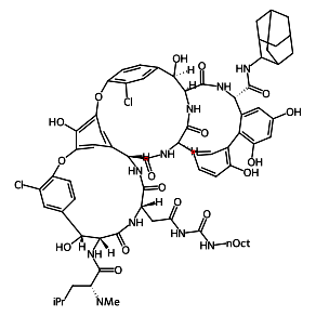 CCCCCCCCNC(=O)NC(=O)C[C@@H]1NC(=O)[C@H](NC(=O)[C@@H](CC(C)C)NC)[C@H](O)c2ccc(c(Cl)c2)Oc2cc3cc(c2O)Oc2ccc(cc2Cl)[C@@H](O)[C@@H]2NC(=O)[C@H](NC(=O)[C@@H]3NC1=O)c1ccc(O)c(c1)-c1c(O)cc(O)cc1[C@@H](C(=O)NC1C3CC4CC(C3)CC1C4)NC2=O